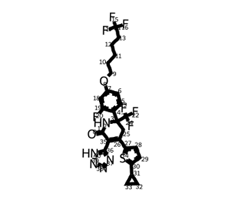 O=C1NC(c2ccc(OCCCCCC(F)(F)F)cc2F)(C(F)(F)F)CC(c2ccc(C3CC3)s2)=C1c1nnn[nH]1